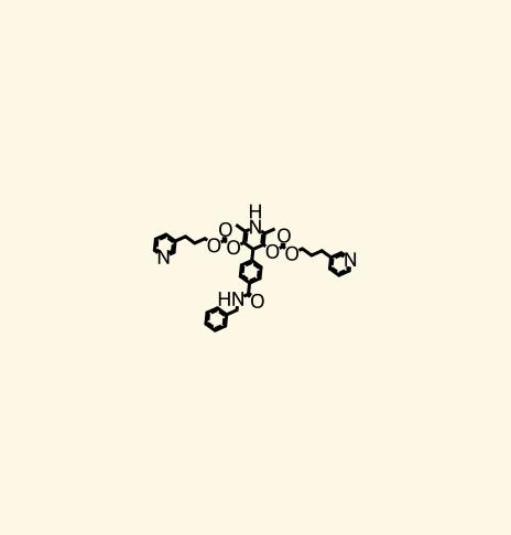 CC1=C(OC(=O)OCCCc2cccnc2)C(c2ccc(C(=O)NCc3ccccc3)cc2)C(OC(=O)OCCCc2cccnc2)=C(C)N1